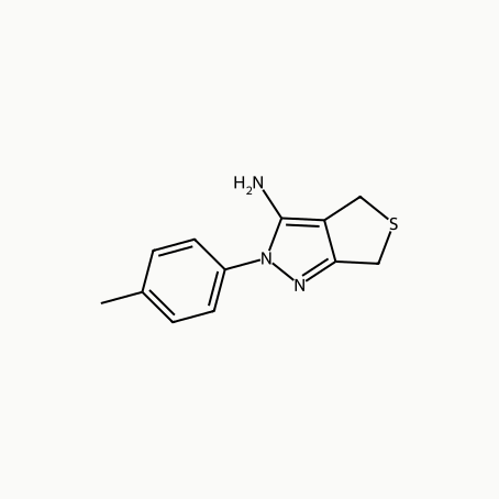 Cc1ccc(-n2nc3c(c2N)CSC3)cc1